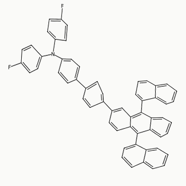 Fc1ccc(N(c2ccc(F)cc2)c2ccc(-c3ccc(-c4ccc5c(-c6cccc7ccccc67)c6ccccc6c(-c6cccc7ccccc67)c5c4)cc3)cc2)cc1